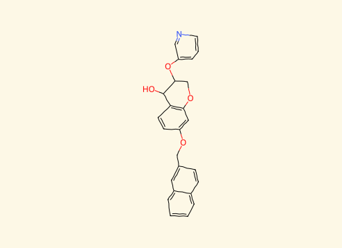 OC1c2ccc(OCc3ccc4ccccc4c3)cc2OCC1Oc1cccnc1